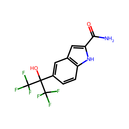 NC(=O)c1cc2cc(C(O)(C(F)(F)F)C(F)(F)F)ccc2[nH]1